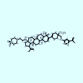 C=C(C)c1cc(OCC2(C(=O)OCC)CC=C(C3=CC[C@]4(C)[C@H]5CC[C@@H]6[C@H]7C(C(=C)C)CC[C@]7(NCCN7CCS(=O)(=O)CC7)CC[C@@]6(C)[C@]5(C)CC[C@H]4C3(C)C)CC2)ns1